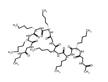 CCCCC[C@H](NC(=O)CNC(C)=O)C(=O)N[C@@H](CCCCC)C(=O)N[C@@H](CCCCC)C(=O)NCC(=O)N[C@@H](CCCCC)C(=O)N[C@@H](CCCCC)C(=O)N[C@@H](CCCCC)C(=O)NCC(=O)NCCC